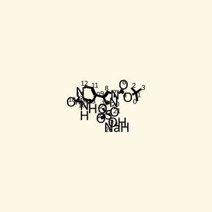 CC(C)(C)OC(=O)n1cc(C2=CCN3CC2NC3=O)cn1.O=S(=O)(O)O.[NaH]